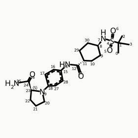 CC(C)(C)S(=O)(=O)N[C@H]1CC[C@H](C(=O)Nc2ccc(N3CCC[C@H]3C(N)=O)cc2)CC1